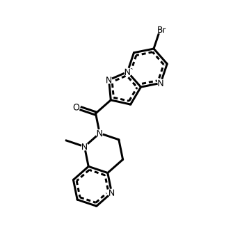 CN1c2cccnc2CCN1C(=O)c1cc2ncc(Br)cn2n1